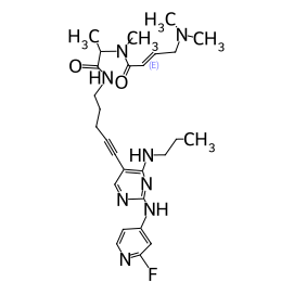 CCCNc1nc(Nc2ccnc(F)c2)ncc1C#CCCCNC(=O)C(C)N(C)C(=O)/C=C/CN(C)C